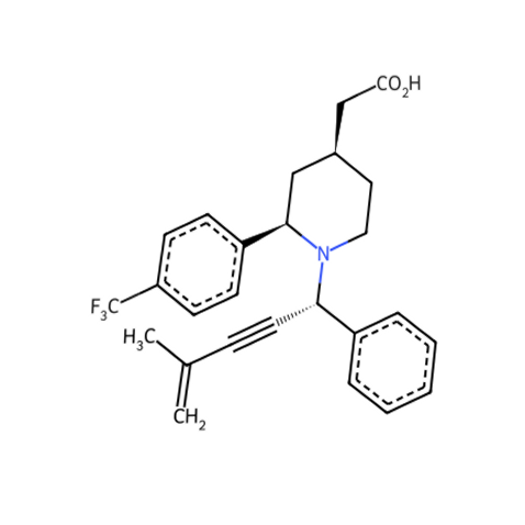 C=C(C)C#C[C@@H](c1ccccc1)N1CC[C@H](CC(=O)O)C[C@@H]1c1ccc(C(F)(F)F)cc1